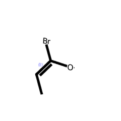 C/C=C(\[O])Br